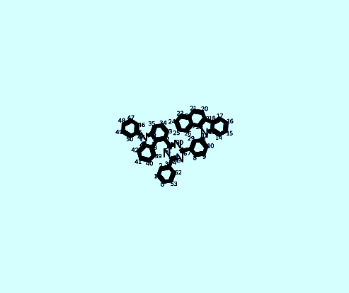 c1ccc(-c2nc(-c3cccc(-n4c5ccccc5c5ccc6ccccc6c54)c3)nc(-c3cccc4c3c3ccccc3n4-c3ccccc3)n2)cc1